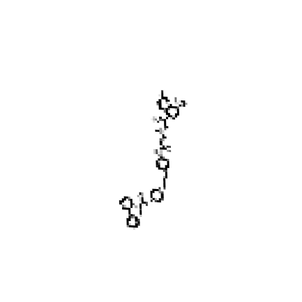 O=C(CCNC[C@@H](O)c1ccc(O)c2[nH]c(=O)ccc12)Nc1ccc(CCCN2CCC(OC(=O)Nc3ccccc3-c3ccccc3)CC2)cc1